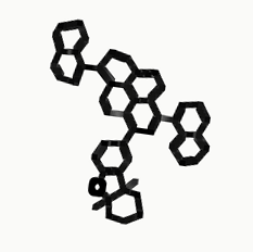 CC12CCCCC1(C)c1cc(-c3cc(-c4cccc5ccccc45)c4ccc5ccc(-c6cccc7ccccc67)c6ccc3c4c56)ccc1O2